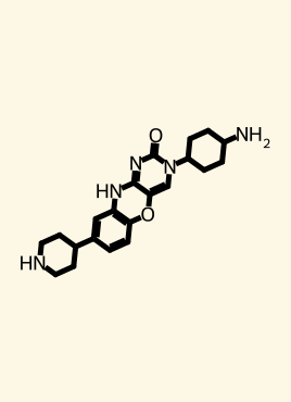 NC1CCC(n2cc3c(nc2=O)Nc2cc(C4CCNCC4)ccc2O3)CC1